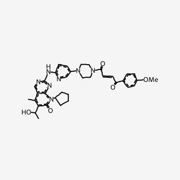 COc1ccc(C(=O)/C=C/C(=O)N2CCN(c3ccc(Nc4ncc5c(C)c(C(C)O)c(=O)n(C6CCCC6)c5n4)nc3)CC2)cc1